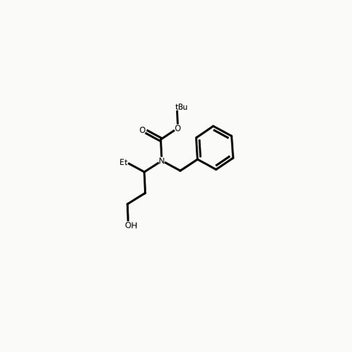 CCC(CCO)N(Cc1ccccc1)C(=O)OC(C)(C)C